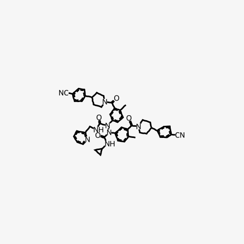 Cc1ccc(N(C(=O)NCc2ccccn2)N(C(=O)NC2CC2)c2ccc(C)c(C(=O)N3CCC(c4ccc(C#N)cc4)CC3)c2)cc1C(=O)N1CCC(c2ccc(C#N)cc2)CC1